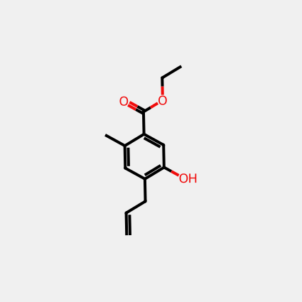 C=CCc1cc(C)c(C(=O)OCC)cc1O